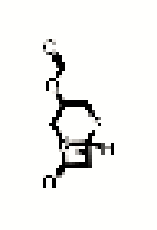 O=COC1CS[C@@H]2CC(=O)N2C1